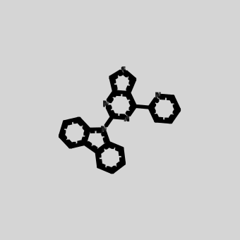 c1ccc(-c2nc(-n3c4ccccc4c4ccccc43)nc3cscc23)nc1